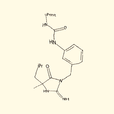 CCCCCNC(=O)Nc1cccc(CN2C(=N)NC(C)(CC(C)C)C2=O)c1